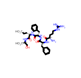 N=C(N)NCCC[C@H](N)C(=O)N[C@@H](Cc1ccccc1)C(=O)N[C@@H](Cc1ccccc1)C(=O)N[C@@H](CCC(=O)O)C(=O)N[C@@H](CO)C(=O)O